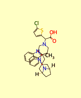 Cc1nc2ccccc2n1[C@H]1C[C@H]2CC[C@@H](C1)N2CCC1(c2ccccc2)CCN(C(C(=O)O)c2ccc(Cl)s2)CC1